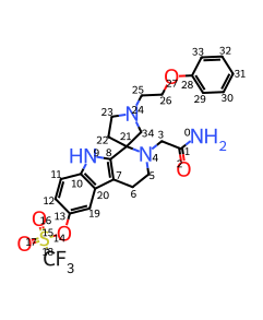 NC(=O)CN1CCc2c([nH]c3ccc(OS(=O)(=O)C(F)(F)F)cc23)C12CCN(CCOc1ccccc1)C2